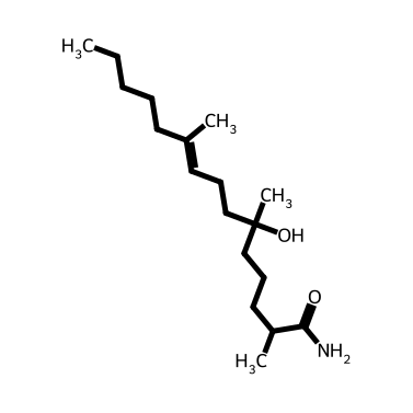 CCCCC/C(C)=C/CCC(C)(O)CCCC(C)C(N)=O